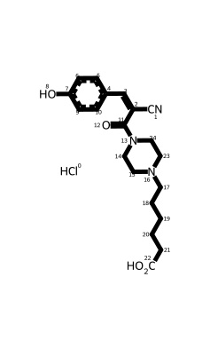 Cl.N#CC(=Cc1ccc(O)cc1)C(=O)N1CCN(CCCCCC(=O)O)CC1